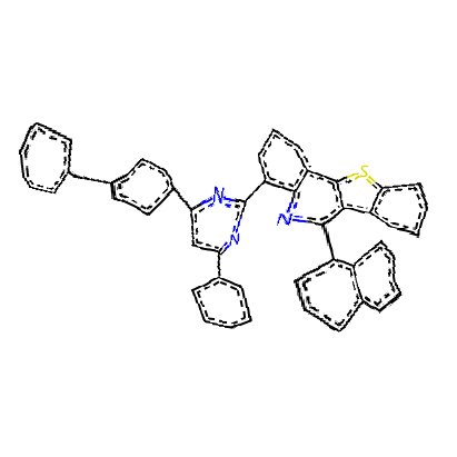 c1ccc(-c2ccc(-c3cc(-c4ccccc4)nc(-c4cccc5c4nc(-c4cccc6ccccc46)c4c6ccccc6sc54)n3)cc2)cc1